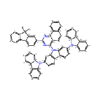 CC1(C)c2ccccc2-c2ccc(-c3nc(-n4c5cc(-n6c7ccccc7c7ccccc76)ccc5c5ccc(-n6c7ccccc7c7ccccc76)cc54)c4ccc5ccccc5c4n3)cc21